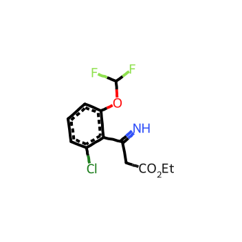 CCOC(=O)CC(=N)c1c(Cl)cccc1OC(F)F